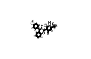 COc1ccc(C(NC(=O)c2c(C)cc(C(F)(F)F)[nH]c2=O)c2ccccc2)cc1